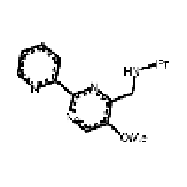 COc1cnc(-c2ccccn2)nc1CNC(C)C